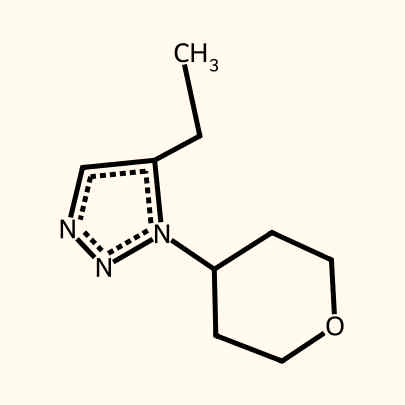 CCc1cnnn1C1CCOCC1